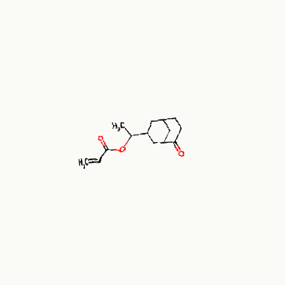 C=CC(=O)OC(C)C1CC2CCC(=O)C(C2)C1